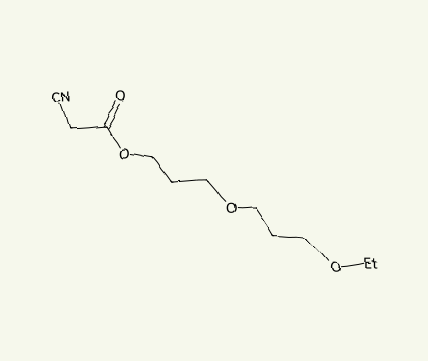 CCOCCCOCCCOC(=O)CC#N